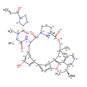 C=CC(=O)N1CC[C@H](C(=O)N(C)[C@H](C(=O)N[C@H]2Cc3cc(O)cc(c3)-c3ccc4oc(-c5cccnc5[C@H](C)OC)c(c4c3)CC(C)(C)COC(=O)[C@@H]3CCCN(N3)C2=O)C(C)C)C1